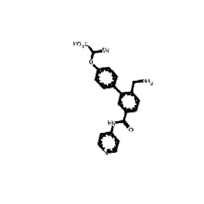 NCc1ccc(C(=O)Nc2ccncc2)cc1-c1ccc(OC(S)C(=O)O)cc1